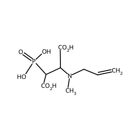 C=CCN(C)C(C(=O)O)C(C(=O)O)P(=O)(O)O